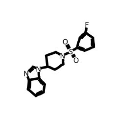 O=S(=O)(c1cccc(F)c1)N1CCC(n2cnc3ccccc32)CC1